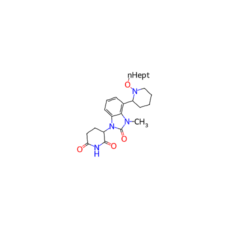 CCCCCCCON1CCCCC1c1cccc2c1n(C)c(=O)n2C1CCC(=O)NC1=O